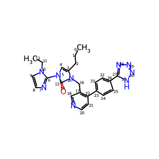 CCCc1cn(-c2nccn2CC)c(=O)n1Cc1cnccc1-c1ccc(-c2nnn[nH]2)cc1